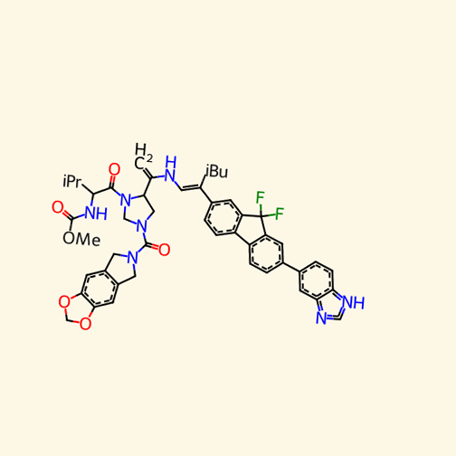 C=C(N/C=C(/c1ccc2c(c1)C(F)(F)c1cc(-c3ccc4[nH]cnc4c3)ccc1-2)C(C)CC)C1CN(C(=O)N2Cc3cc4c(cc3C2)OCO4)CN1C(=O)C(NC(=O)OC)C(C)C